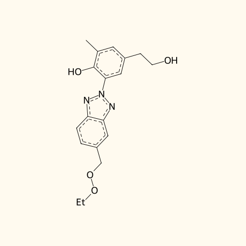 CCOOCc1ccc2nn(-c3cc(CCO)cc(C)c3O)nc2c1